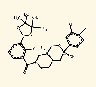 CC1(C)OB(c2cccc(C(=O)N3CCN4C[C@@](O)(c5ccc(F)c(Cl)c5)OC[C@@H]4C3)c2Cl)OC1(C)C